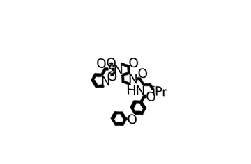 CC(C)CC(NC(=O)c1ccc(Oc2ccccc2)cc1)C(=O)N1CCC2C1C(=O)CN2S(=O)(=O)C(=O)c1ccccn1